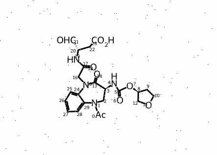 CC(=O)N1C[C@H](NC(=O)O[C@H]2CCOC2)C(=O)N(CC(=O)N[C@H](C=O)CC(=O)O)c2ccccc21